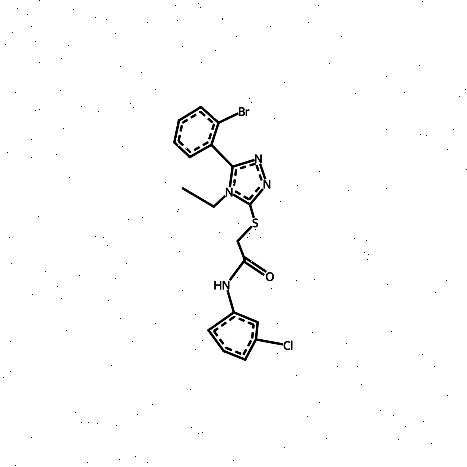 CCn1c(SCC(=O)Nc2cccc(Cl)c2)nnc1-c1ccccc1Br